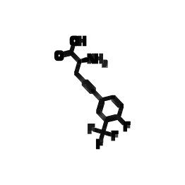 N[C@@H](CC#Cc1ccc(F)c(C(F)(F)F)c1)C(=O)O